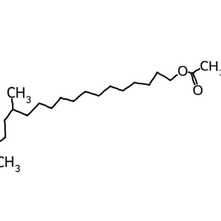 CCCCC(C)CCCCCCCCCCCCCOC(C)=O